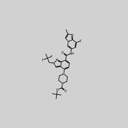 Cc1cn2cc(NC(=O)c3ccc(N4CCN(C(=O)OC(C)(C)C)CC4)c4cn(CC(C)(F)F)nc34)cc(F)c2n1